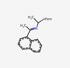 CCCCCC(C)N=C(C)c1cccc2cc[c]cc12